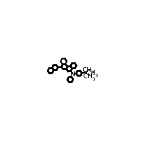 CC(C)(C)c1ccc(N(c2ccccc2)c2cc3cc(-c4ccc5ccccc5c4)c4c(c3c3ccccc23)C=CCC4)cc1